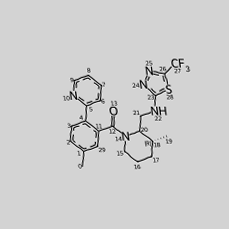 Cc1ccc(-c2ccccn2)c(C(=O)N2CCC[C@@H](C)C2CNc2nnc(C(F)(F)F)s2)c1